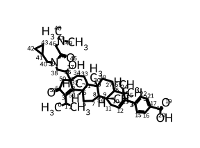 CC(C)C1=C2[C@H]3CC[C@@H]4[C@@]5(C)CC=C(c6ccc(C(=O)O)cc6)C(C)(C)[C@@H]5CC[C@@]4(C)[C@]3(C)CCC2(C(O)CN(CC2CC2)C(=O)CN(C)C)CC1=O